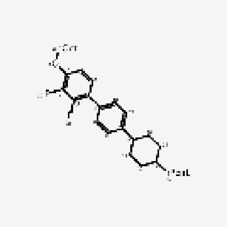 CCCCCCCCOc1ccc(-c2ccc(C3CCC(CCCCC)CC3)cc2)c(F)c1F